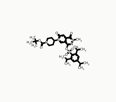 CC(C)c1cc(C(C)C)c(S(=O)(=O)Oc2nn(C)c(=O)c3cc(=O)n(C4CCN(C(=O)OC(C)(C)C)CC4)cc23)c(C(C)C)c1